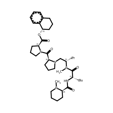 CC(C)[C@@H](CN1CCC[C@H]1C(=O)N1CCC[C@H]1C(=O)O[C@H]1CCCc2ccccc21)N(C)C(=O)[C@@H](NC(=O)[C@H]1CCCCN1C)C(C)(C)C